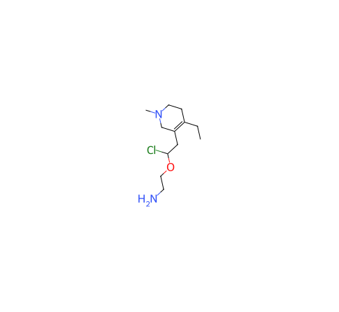 CCC1=C(CC(Cl)OCCN)CN(C)CC1